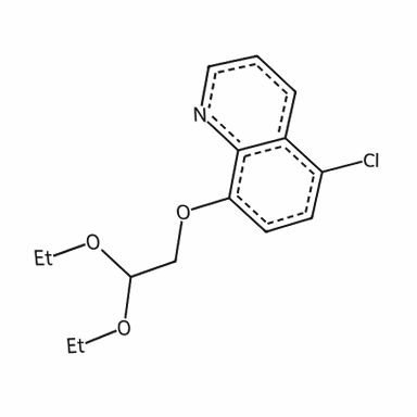 CCOC(COc1ccc(Cl)c2cccnc12)OCC